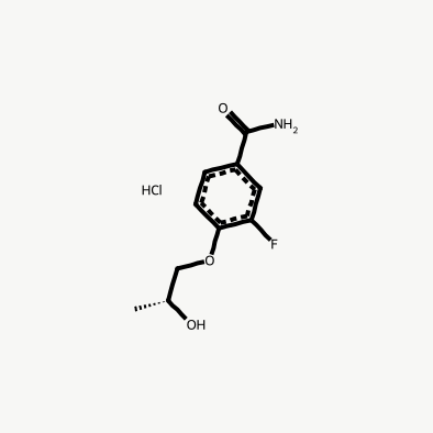 C[C@@H](O)COc1ccc(C(N)=O)cc1F.Cl